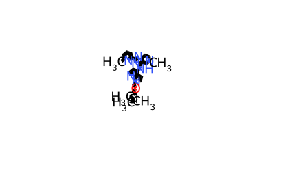 Cc1cccc(-c2nc3c(c(Nc4ccnc5c4ccn5COCC[Si](C)(C)C)n2)CN(C)CC3)n1